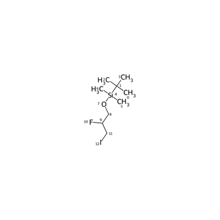 CC(C)(C)[Si](C)(C)OCC(F)CI